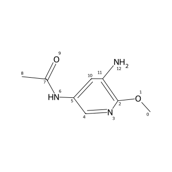 COc1ncc(NC(C)=O)cc1N